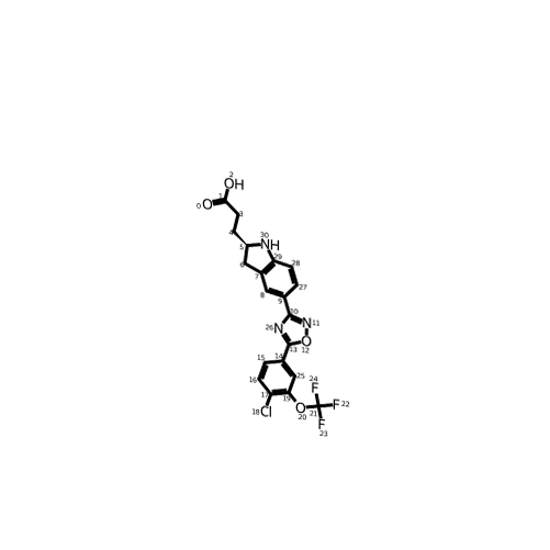 O=C(O)CC[C@@H]1Cc2cc(-c3noc(-c4ccc(Cl)c(OC(F)(F)F)c4)n3)ccc2N1